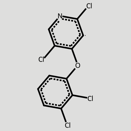 Clc1[c]c(Oc2cccc(Cl)c2Cl)c(Cl)cn1